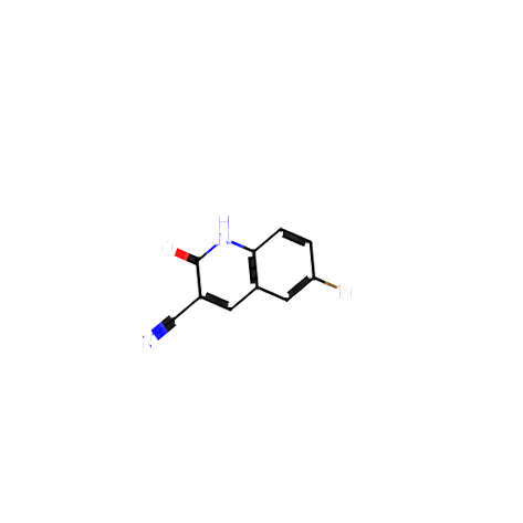 N#Cc1cc2cc(Br)ccc2[nH]c1=O